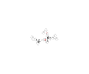 c1ccc2c(c1)ccc1cc(-n3c4ccccc4c4cc(-c5ccc6c(c5)c5ccccc5n6-c5nc(-c6ccc7c8ccccc8c8ccccc8c7c6)cc(-c6ccc7c8ccccc8c8ccccc8c7c6)n5)ccc43)ccc12